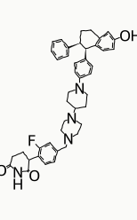 O=C1CCC(c2ccc(CN3CCN(C4CCN(c5ccc([C@@H]6c7ccc(O)cc7CC[C@@H]6c6ccccc6)cc5)CC4)CC3)cc2F)C(=O)N1